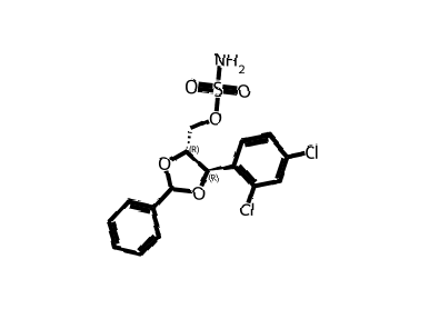 NS(=O)(=O)OC[C@H]1OC(c2ccccc2)O[C@@H]1c1ccc(Cl)cc1Cl